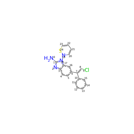 Nc1nc2ccc(C(=CCl)c3ccccc3)cc2n1N1C=CC=CS1